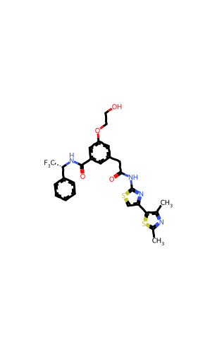 Cc1nc(C)c(-c2csc(NC(=O)Cc3cc(OCCO)cc(C(=O)N[C@H](c4ccccc4)C(F)(F)F)c3)n2)s1